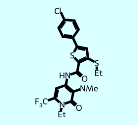 CCSc1cc(-c2ccc(Cl)cc2)sc1C(=O)Nc1cc(C(F)(F)F)n(CC)c(=O)c1NC